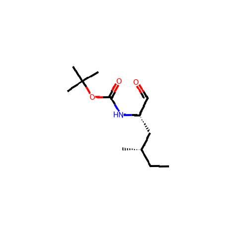 CC[C@H](C)C[C@@H](C=O)NC(=O)OC(C)(C)C